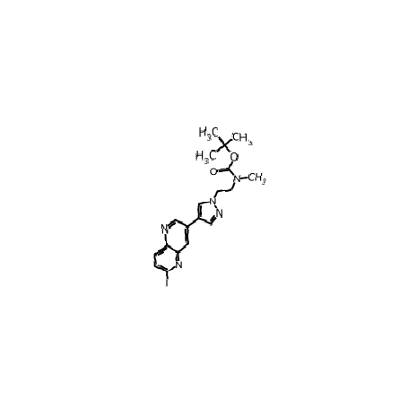 CN(CCn1cc(-c2cnc3ccc(I)nc3c2)cn1)C(=O)OC(C)(C)C